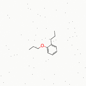 CC[CH]c1ccccc1OCCC